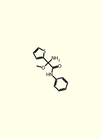 COC(N)(C(=O)Nc1ccccc1)c1cccs1